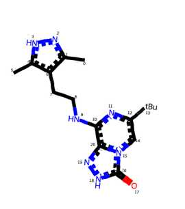 Cc1n[nH]c(C)c1CCNc1nc(C(C)(C)C)cn2c(=O)[nH]nc12